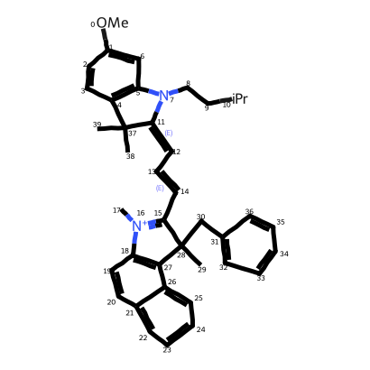 COc1ccc2c(c1)N(CCC(C)C)/C(=C/C=C/C1=[N+](C)c3ccc4ccccc4c3C1(C)Cc1ccccc1)C2(C)C